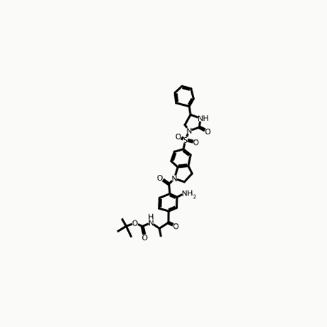 CC(NC(=O)OC(C)(C)C)C(=O)c1ccc(C(=O)N2CCc3cc(S(=O)(=O)N4CC(c5ccccc5)NC4=O)ccc32)c(N)c1